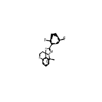 CC(=O)N1N=C(c2cc(F)ccc2F)OC12CCSc1ccccc12